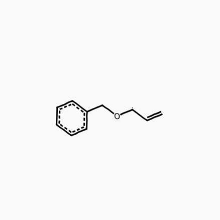 C=C[CH]OCc1ccccc1